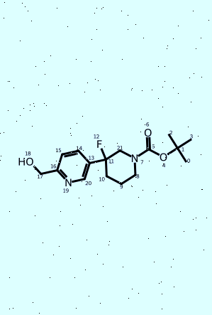 CC(C)(C)OC(=O)N1CCCC(F)(c2ccc(CO)nc2)C1